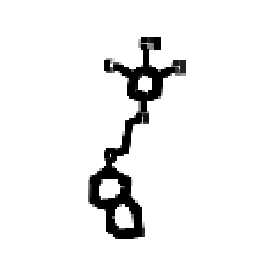 N#Cc1c(Cl)cc(OCCOc2ccc3ccccc3c2)cc1Cl